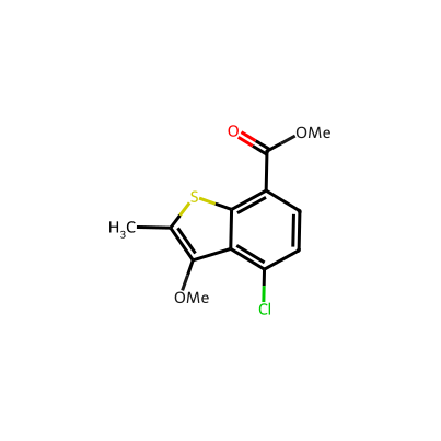 COC(=O)c1ccc(Cl)c2c(OC)c(C)sc12